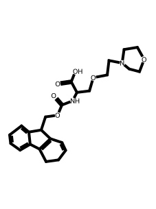 O=C(NC(COCCN1CCOCC1)C(=O)O)OCC1C2=C(CCC=C2)c2ccccc21